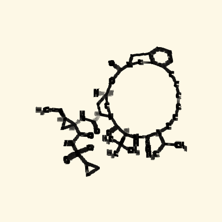 C=C[C@@H]1C[C@]1(NC(=O)[C@@H]1C[C@@H]2CN1C(=O)[C@H](C(C)(C)C)NC(=O)N(C(C)C)CCCCCCc1cccc3c1CN(C3)C(=O)O2)C(=O)NS(=O)(=O)C1CC1